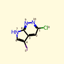 Clc1cc2c(I)c[nH]c2nn1